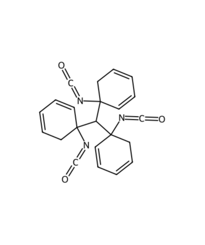 O=C=NC1(C(C2(N=C=O)C=CC=CC2)C2(N=C=O)C=CC=CC2)C=CC=CC1